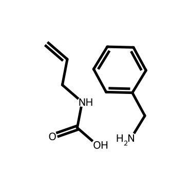 C=CCNC(=O)O.NCc1ccccc1